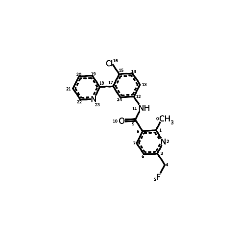 Cc1nc(CF)ccc1C(=O)Nc1ccc(Cl)c(-c2ccccn2)c1